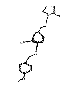 COc1ccc(COc2ccc(CCN3CCC[C@H]3C)cc2Cl)cc1